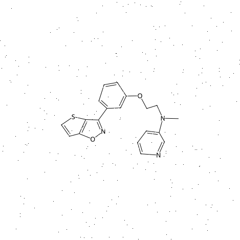 CN(CCOc1cccc(-c2noc3ccsc23)c1)c1cccnc1